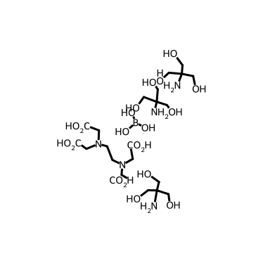 NC(CO)(CO)CO.NC(CO)(CO)CO.NC(CO)(CO)CO.O=C(O)CN(CCN(CC(=O)O)CC(=O)O)CC(=O)O.OB(O)O